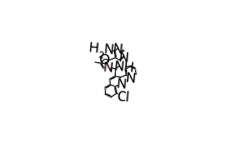 Cc1cnc(-c2c(N)ncnc2NC(C)c2cc3cccc(Cl)c3nc2-c2ccccn2)o1